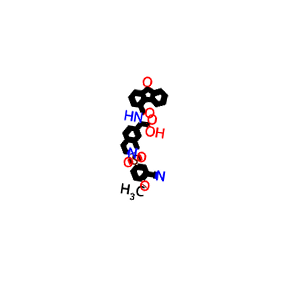 COc1ccc(S(=O)(=O)N2CCc3ccc(C(NC(=O)c4cccc5c4-c4ccccc4C5=O)C(=O)O)cc3C2)cc1C#N